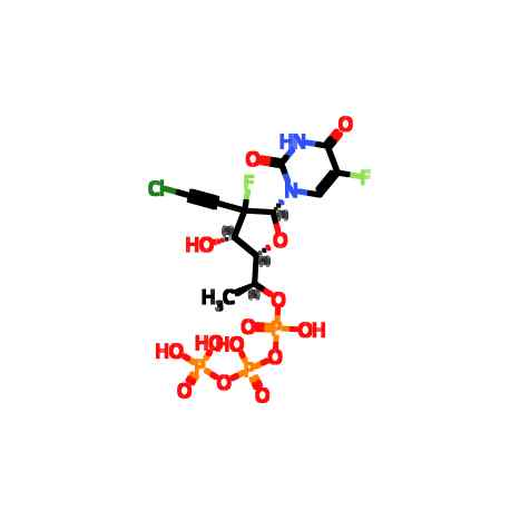 C[C@H](OP(=O)(O)OP(=O)(O)OP(=O)(O)O)[C@H]1O[C@@H](n2cc(F)c(=O)[nH]c2=O)C(F)(C#CCl)[C@H]1O